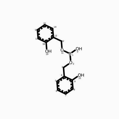 OB(OCc1ccccc1O)OCc1ccccc1O